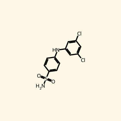 NS(=O)(=O)c1ccc(Nc2cc(Cl)cc(Cl)c2)cc1